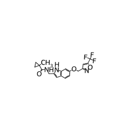 CC1(C(=O)NCc2cc3ccc(OCc4cc(C(F)(F)F)on4)cc3[nH]2)CC1